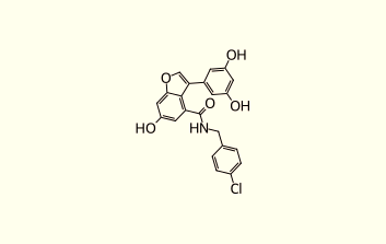 O=C(NCc1ccc(Cl)cc1)c1cc(O)cc2occ(-c3cc(O)cc(O)c3)c12